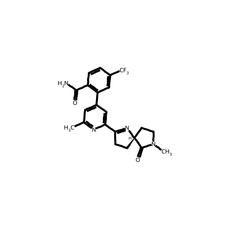 Cc1cc(-c2cc(C(F)(F)F)ccc2C(N)=O)cc(C2=N[C@]3(CC2)CCN(C)C3=O)n1